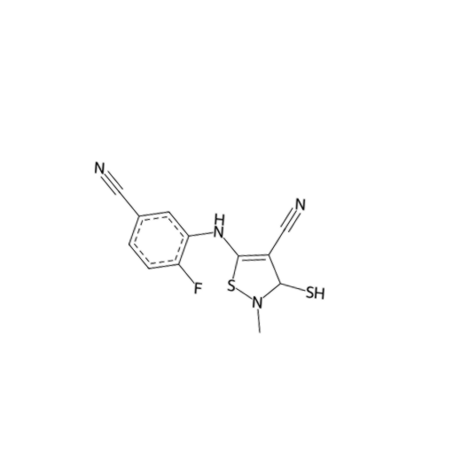 CN1SC(Nc2cc(C#N)ccc2F)=C(C#N)C1S